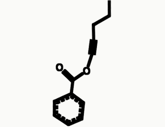 CCCC#COC(=O)c1ccccc1